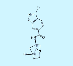 CCc1nsc2cc(C(=O)N[C@@H]3C[C@H]4CCN(C4)C3)ccc12